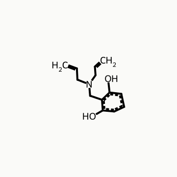 C=CCN(CC=C)Cc1c(O)cccc1O